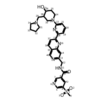 CS(=O)(=O)c1cncc(C(=O)NCc2cc3nc(-c4cccc(N5CCC(O)C(CN6CCCC6)C5)n4)ccc3cn2)c1